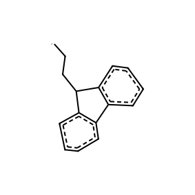 [CH2]CCC1c2ccccc2-c2ccccc21